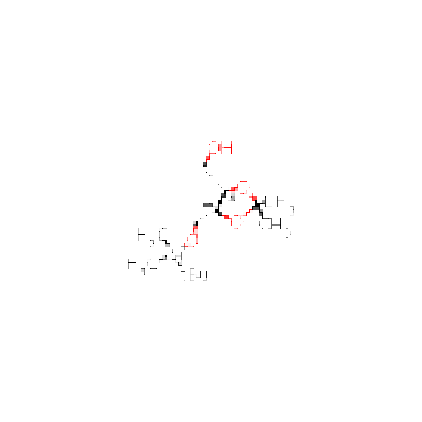 CC1(C)O[C@@H](CO)[C@@H](CO[Si](C)(C)C(C)(C)C)O1